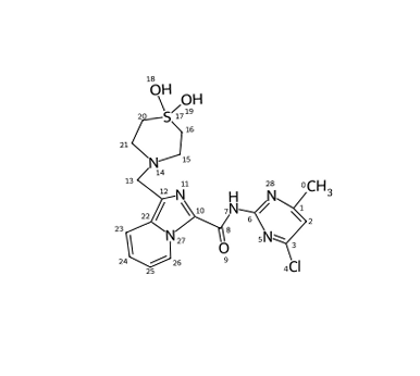 Cc1cc(Cl)nc(NC(=O)c2nc(CN3CCS(O)(O)CC3)c3ccccn23)n1